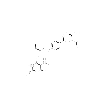 C/C=C(\CNc1ccc(C(=O)NC(C(=O)O)C(=O)O)cc1)CNc1[nH]c(N)nc(=O)c1NC